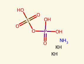 N.O=P(O)(O)OS(=O)(=O)O.[KH].[KH]